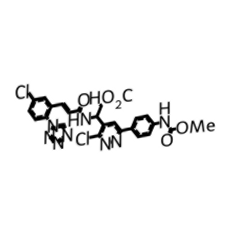 COC(=O)Nc1ccc(-c2cc(C(CC(=O)O)NC(=O)C=Cc3cc(Cl)ccc3-n3cnnn3)c(Cl)nn2)cc1